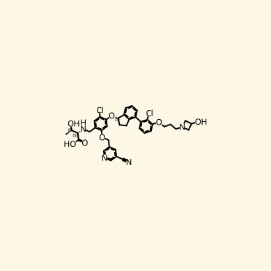 C[C@@H](O)[C@H](NCc1cc(Cl)c(O[C@H]2CCc3c(-c4cccc(OCCCN5CC(O)C5)c4Cl)cccc32)cc1OCc1cncc(C#N)c1)C(=O)O